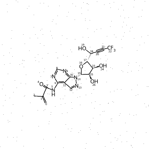 C=C(C)C(=O)Nc1ncnc2c1cnn2[C@@H]1O[C@H](C(O)C#CC(F)(F)F)[C@@H](O)[C@H]1O